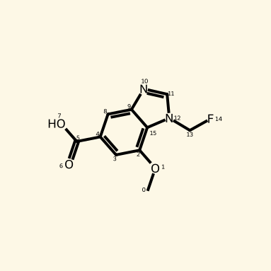 COc1cc(C(=O)O)cc2ncn(CF)c12